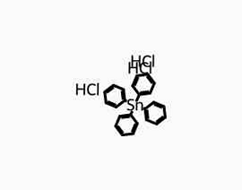 Cl.Cl.Cl.c1cc[c]([Sn]([c]2ccccc2)([c]2ccccc2)[c]2ccccc2)cc1